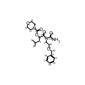 CC(C)CC(OC(=O)N1CCOCC1)C(=O)N(CCOCc1ccccc1)C(N)=O